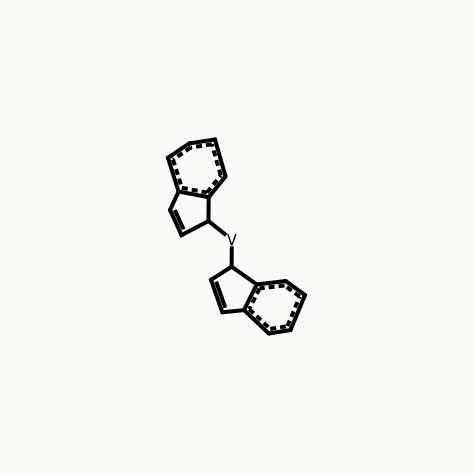 C1=C[CH]([V][CH]2C=Cc3ccccc32)c2ccccc21